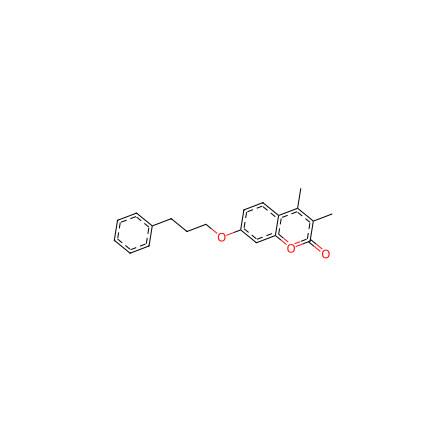 Cc1c(C)c2ccc(OCCCc3ccccc3)cc2oc1=O